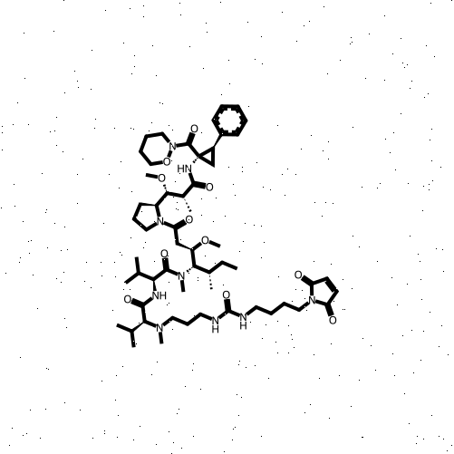 CC[C@H](C)[C@@H]([C@@H](CC(=O)N1CCC[C@H]1[C@H](OC)[C@@H](C)C(=O)N[C@@]1(C(=O)N2CCCCO2)C[C@@H]1c1ccccc1)OC)N(C)C(=O)[C@@H](NC(=O)[C@H](C(C)C)N(C)CCCNC(=O)NCCCCN1C(=O)C=CC1=O)C(C)C